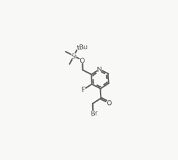 CC(C)(C)[Si](C)(C)OCc1nccc(C(=O)CBr)c1F